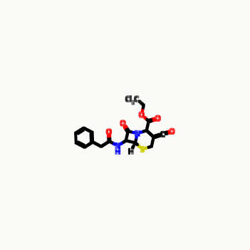 O=C=C1CS[C@@H]2C(NC(=O)Cc3ccccc3)C(=O)N2C1C(=O)OCC(Cl)(Cl)Cl